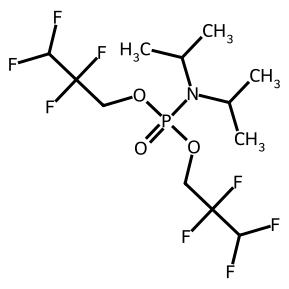 CC(C)N(C(C)C)P(=O)(OCC(F)(F)C(F)F)OCC(F)(F)C(F)F